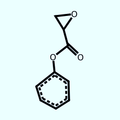 O=C(Oc1ccccc1)C1CO1